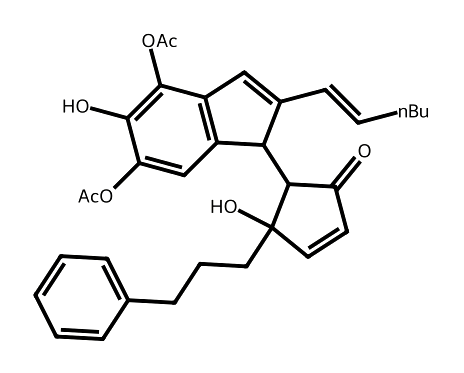 CCCCC=CC1=Cc2c(cc(OC(C)=O)c(O)c2OC(C)=O)C1C1C(=O)C=CC1(O)CCCc1ccccc1